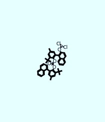 Cc1cc(-c2c(OP(Cl)Cl)ccc3ccccc23)c(Op2oc3ccc4ccccc4c3c3cc(C)cc(C(C)(C)C)c3o2)c(C(C)(C)C)c1